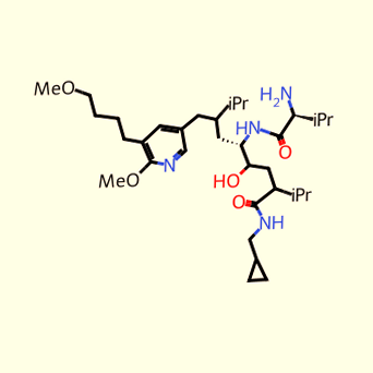 COCCCCc1cc(CC(C[C@H](NC(=O)[C@@H](N)C(C)C)C(O)CC(C(=O)NCC2CC2)C(C)C)C(C)C)cnc1OC